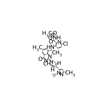 Cc1cc([C@@H](C)Nc2ccc(Cl)nc2C(=O)NS(C)(=O)=O)c2nc(N3C[C@@H]4C(c5cc(C)nn5C5CC5)[C@@H]4C3)n(C)c(=O)c2c1